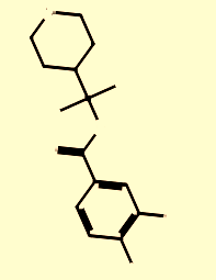 CC(C)(OC(=O)c1ccc(I)c(O)c1)C1CCNCC1